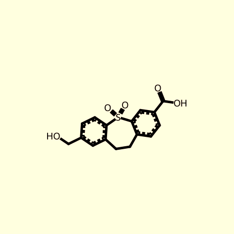 O=C(O)c1ccc2c(c1)S(=O)(=O)c1ccc(CO)cc1CC2